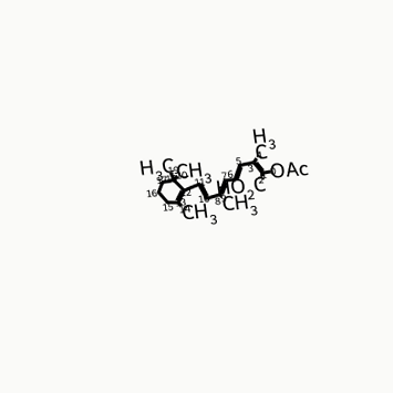 CC(=O)OC(C(=O)O)=C(C)C=CC=C(C)C=CC1=C(C)CCCC1(C)C